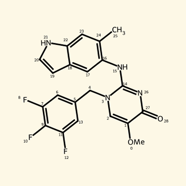 COc1cn(Cc2cc(F)c(F)c(F)c2)c(Nc2cc3cc[nH]c3cc2C)nc1=O